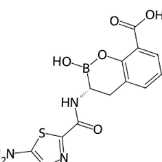 Nc1nnc(C(=O)N[C@H]2Cc3cccc(C(=O)O)c3OB2O)s1